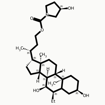 CC[C@@H]1C2C[C@H](O)CC[C@]2(C)[C@H]2CC[C@]3(C)[C@@H]([C@H](C)CCOC(=O)N4CC[C@@H](O)C4)CC[C@H]3[C@@H]2[C@@H]1O